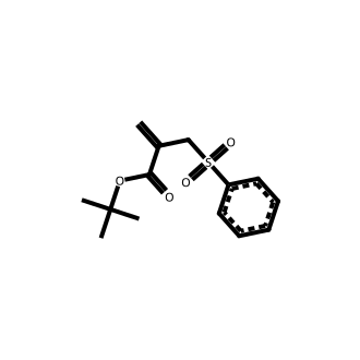 C=C(CS(=O)(=O)c1ccccc1)C(=O)OC(C)(C)C